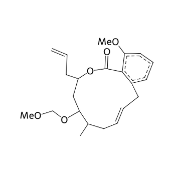 C=CCC1CC(OCOC)C(C)C/C=C/Cc2cccc(OC)c2C(=O)O1